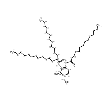 CCCCCCCCCCCCCC(=O)N[C@@H]1CO[C@H](CO)[C@@H](O)[C@@H]1OC(=O)C(CCCCCCCCCCCC)CCCCCCCCCCCC